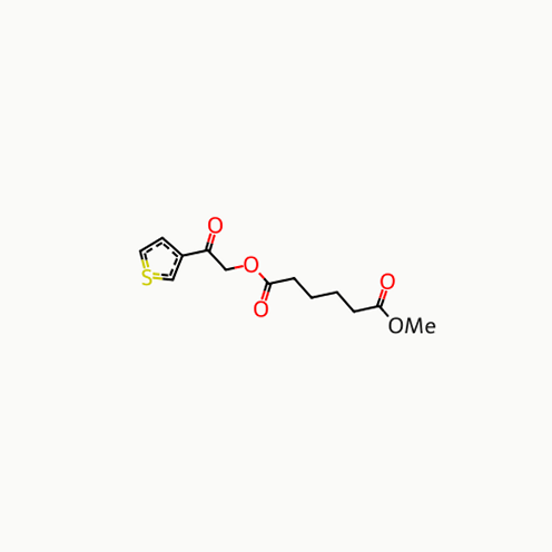 COC(=O)CCCCC(=O)OCC(=O)c1ccsc1